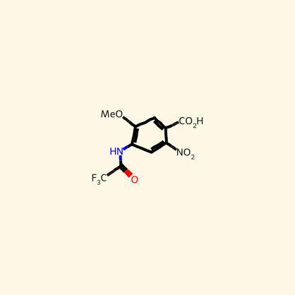 COc1cc(C(=O)O)c([N+](=O)[O-])cc1NC(=O)C(F)(F)F